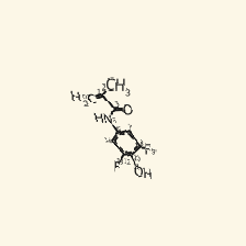 C=C(C)C(=O)Nc1cc(F)c(O)c(F)c1